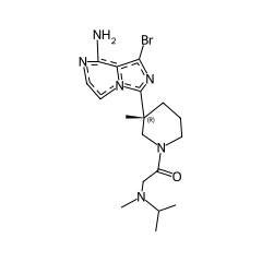 CC(C)N(C)CC(=O)N1CCC[C@@](C)(c2nc(Br)c3c(N)nccn23)C1